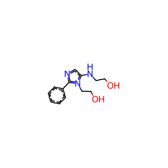 OCCNc1cnc(-c2ccccc2)n1CCO